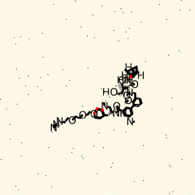 COc1c(CN2O[C@@H](CO)[C@@H]([C@H](C)O)[C@H]2C(=O)NC2C[C@H]3C[C@@H]([C@@H]2C)C3(C)C)cccc1-c1cc(C(=O)N[C@H](Cc2ccccc2)CN(C)CCOCCOCCOCCN=[N+]=[N-])cc(N(C)C)c1